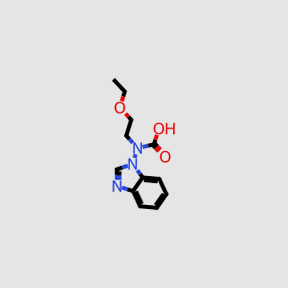 CCOCCN(C(=O)O)n1cnc2ccccc21